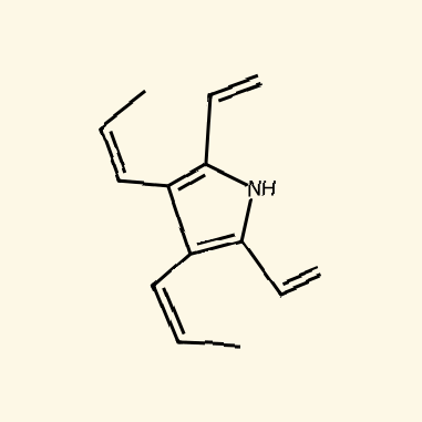 C=Cc1[nH]c(C=C)c(/C=C\C)c1/C=C\C